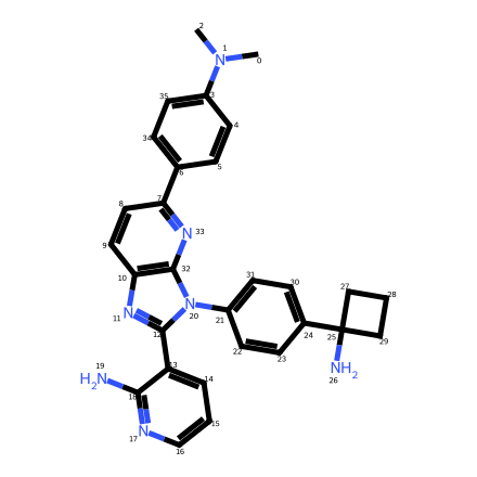 CN(C)c1ccc(-c2ccc3nc(-c4cccnc4N)n(-c4ccc(C5(N)CCC5)cc4)c3n2)cc1